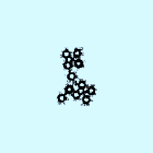 c1c(-c2ccc3c(c2)C(c2ccccc2)(c2ccccc2)c2ccccc2-3)ccc(N(c2ccc(-c3ccccc3)cc2)c2cccc3c2C2=C(C=CCC2)C3(c2ccccc2)c2ccccc2)c#1